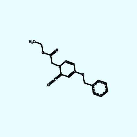 CCOC(=O)CN1C=CC(OCc2ccccc2)=CC1=C=O